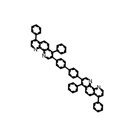 c1ccc(-c2ccnc3c2ccc2c(-c4ccccc4)c(-c4ccc(-c5ccc(-c6cnc7c(ccc8c(-c9ccccc9)ccnc87)c6-c6ccccc6)cc5)cc4)cnc23)cc1